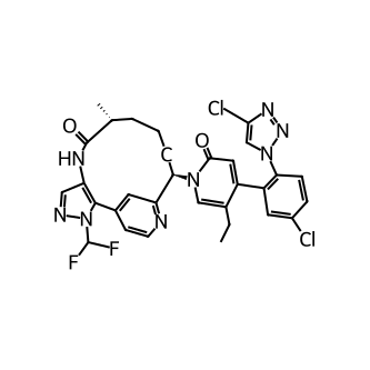 CCc1cn([C@@H]2CCC[C@@H](C)C(=O)Nc3cnn(C(F)F)c3-c3ccnc2c3)c(=O)cc1-c1cc(Cl)ccc1-n1cc(Cl)nn1